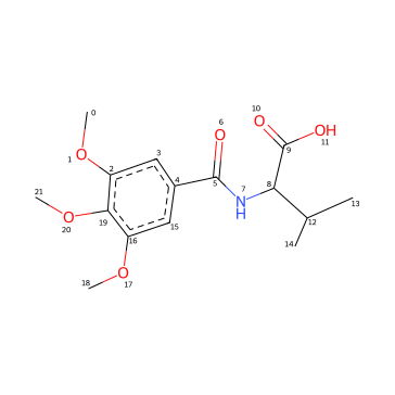 COc1cc(C(=O)NC(C(=O)O)C(C)C)cc(OC)c1OC